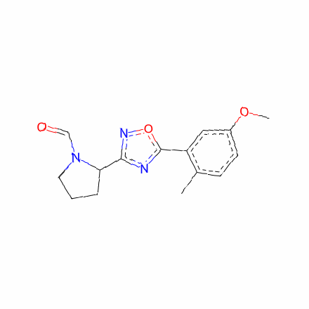 COc1ccc(C)c(-c2nc(C3CCCN3C=O)no2)c1